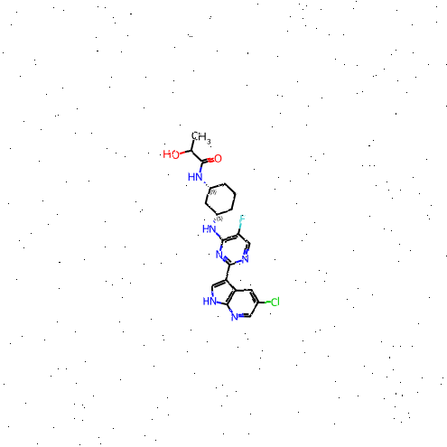 CC(O)C(=O)N[C@@H]1CCC[C@H](Nc2nc(-c3c[nH]c4ncc(Cl)cc34)ncc2F)C1